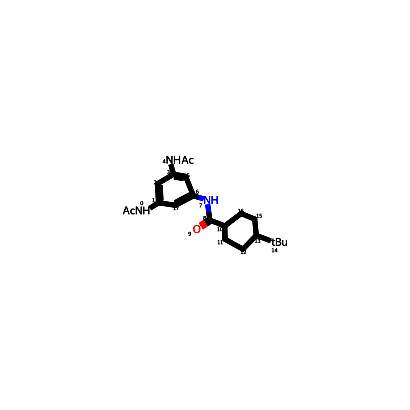 CC(=O)Nc1cc(NC(C)=O)cc(NC(=O)C2CCC(C(C)(C)C)CC2)c1